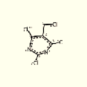 ClCc1c(Cl)nc(Cl)nc1Cl